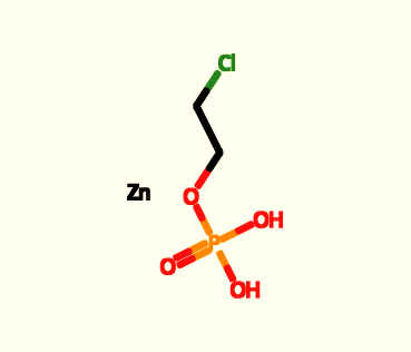 O=P(O)(O)OCCCl.[Zn]